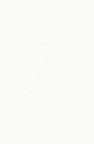 N=C/C(=C\NC1CCCCC1)C(=O)N[C@@]1(C(=O)NCc2ncc(Nc3ccccc3C(F)(F)F)cc2Cl)CCOC1